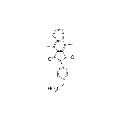 Cc1c2c(c(C)c3ccccc13)C(=O)N(c1ccc(CC(=O)O)cc1)C2=O